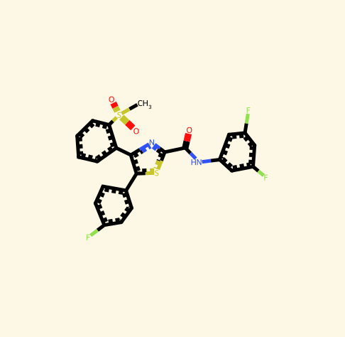 CS(=O)(=O)c1ccccc1-c1nc(C(=O)Nc2cc(F)cc(F)c2)sc1-c1ccc(F)cc1